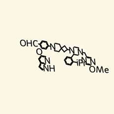 COc1cnc(CN2CCN(C3CC4(CCN(c5ccc(C=O)c(Oc6cnc7[nH]ccc7c6)c5)CC4)C3)C(c3ccccc3C(C)C)C2)cn1